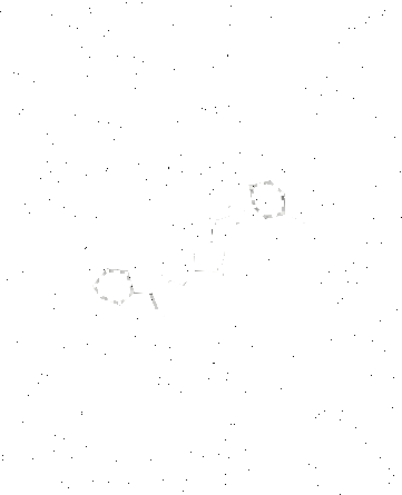 O=C(NC[C@H]1C[C@@H](NS(=O)(=O)c2cc(Br)ccc2Br)CN1C(=O)O)c1ccccc1